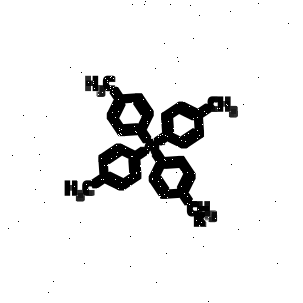 Cc1cc[c]([Al-]([c]2ccc(C)cc2)([c]2ccc(C)cc2)[c]2ccc(C)cc2)cc1.[K+]